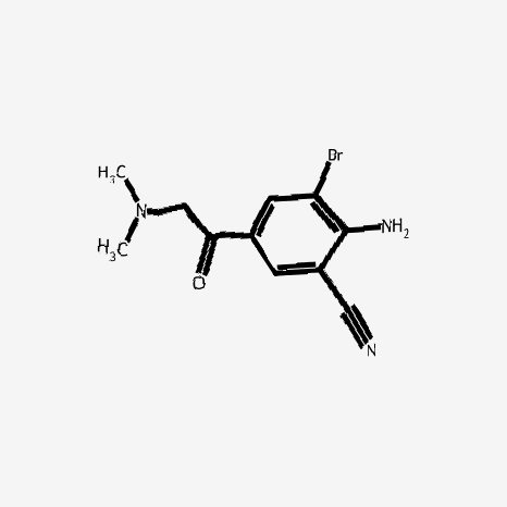 CN(C)CC(=O)c1cc(Br)c(N)c(C#N)c1